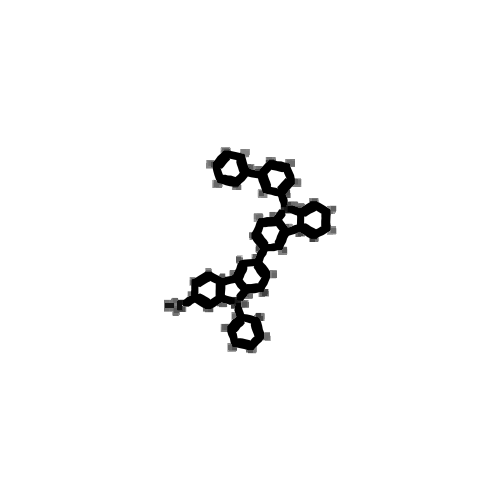 Cc1ccc2c3cc(-c4ccc5c(c4)c4ccccc4n5-c4cccc(-c5ccccc5)c4)ccc3n(-c3ccccc3)c2c1